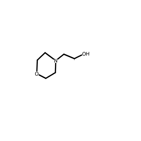 O[CH]CN1CCOCC1